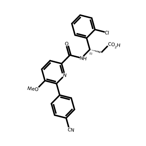 COc1ccc(C(=O)N[C@@H](CC(=O)O)c2ccccc2Cl)nc1-c1ccc(C#N)cc1